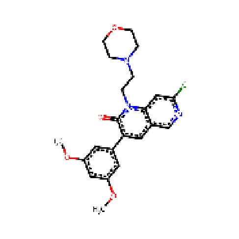 COc1cc(OC)cc(-c2cc3cnc(Cl)cc3n(CCN3CCOCC3)c2=O)c1